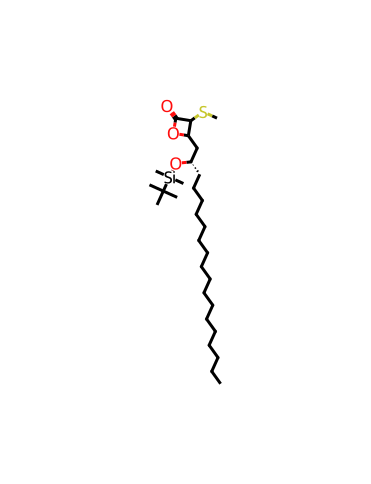 CCCCCCCCCCCCCCCCC[C@@H](CC1OC(=O)C1SC)O[Si](C)(C)C(C)(C)C